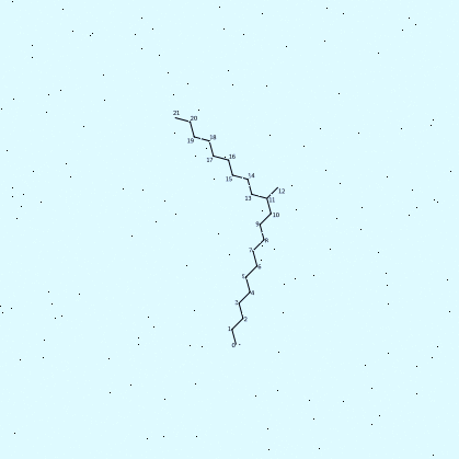 [CH2]CCCCCCCCCCC(C)CCCCCCCCC